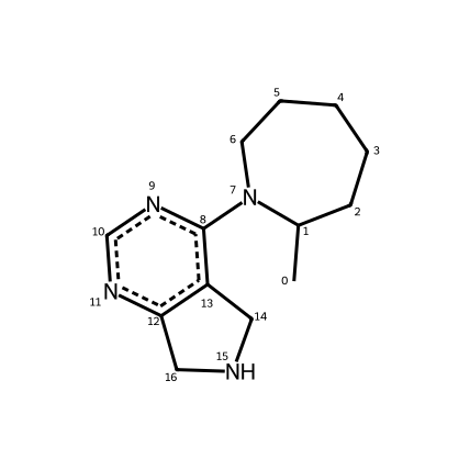 CC1CCCCCN1c1ncnc2c1CNC2